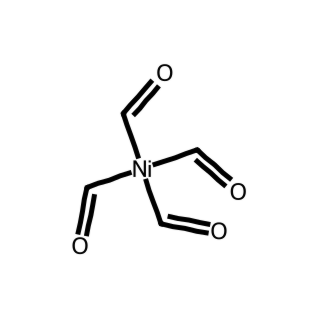 O=[CH][Ni]([CH]=O)([CH]=O)[CH]=O